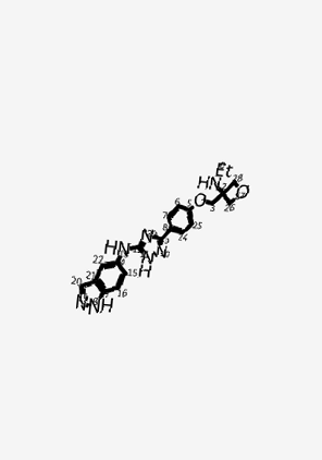 CCNC1(COc2ccc(-c3n[nH]c(Nc4ccc5[nH]ncc5c4)n3)cc2)COC1